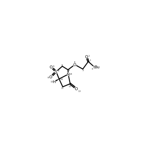 CC(C)(C)C(=O)COC1CS(=O)(=O)[C@H]2CC(=O)N12